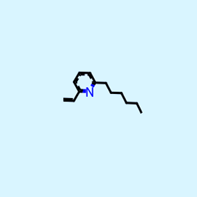 C=Cc1cccc(CCCCCC)n1